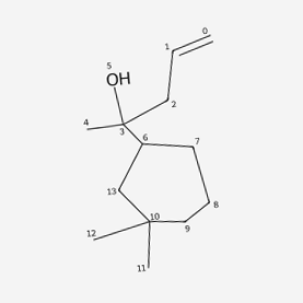 C=CCC(C)(O)C1CCCC(C)(C)C1